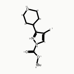 CC(C)(C)OC(=O)n1cc(I)c(C2CCOCC2)n1